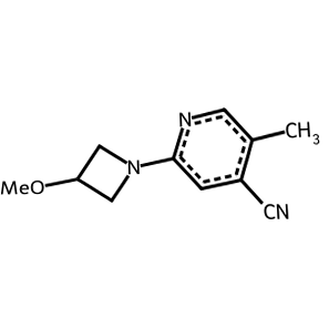 COC1CN(c2cc(C#N)c(C)cn2)C1